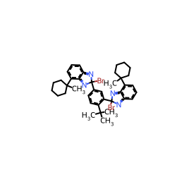 CC(C)(C)c1ccc(C2(Br)N=c3cccc(C4(C)CCCCC4)c3=N2)cc1C1(Br)N=c2cccc(C3(C)CCCCC3)c2=N1